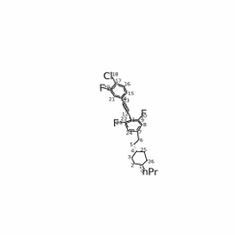 CCC[C@H]1CC[C@H](CCc2cc(F)c(C#Cc3ccc(Cl)c(F)c3)c(F)c2)CC1